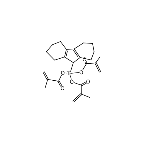 C=C(C)C(=O)[O][Ti]([O]C(=O)C(=C)C)([O]C(=O)C(=C)C)[CH]1C2=C(CCCC2)C2=C1CCCC2